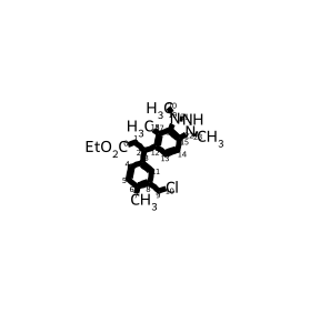 CCOC(=O)CC(c1ccc(C)c(CCl)c1)c1ccc2c(c1C)N(C)NN2C